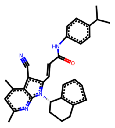 Cc1cc(C)c2c(C#N)c(/C=C/C(=O)Nc3ccc(C(C)C)cc3)n([C@H]3CCCc4ccccc43)c2n1